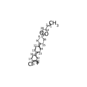 CC=C[C@H]1CO[C@H]([C@H]2CC[C@H](c3ccc(-c4ccc(Cl)c(F)c4)cc3)CC2)OC1